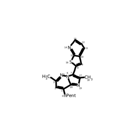 CCCCCc1cc(C)nn2c(-c3cc4cccnc4s3)c(C)nc12